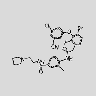 Cc1cc(C(=O)NCCN2CCCC2)ccc1NC(=O)Cc1ccc(Br)c(Oc2cc(Cl)cc(C#N)c2)c1F